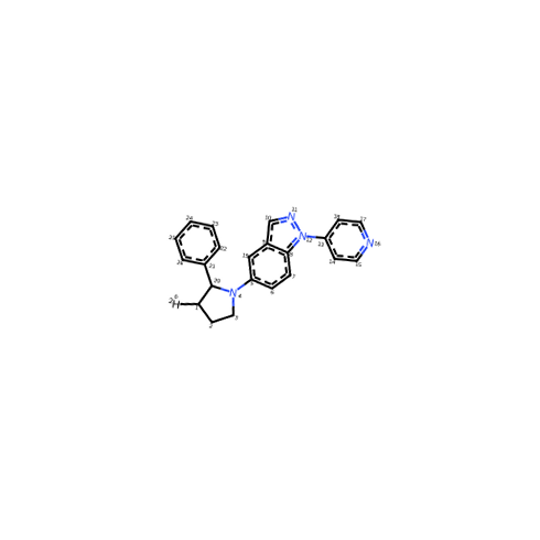 [2H]C1CCN(c2ccc3c(cnn3-c3ccncc3)c2)C1c1ccccc1